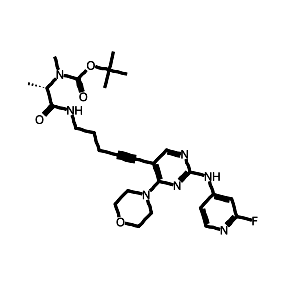 C[C@@H](C(=O)NCCCC#Cc1cnc(Nc2ccnc(F)c2)nc1N1CCOCC1)N(C)C(=O)OC(C)(C)C